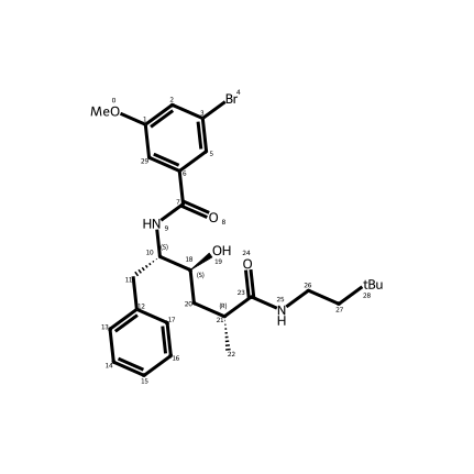 COc1cc(Br)cc(C(=O)N[C@@H](Cc2ccccc2)[C@@H](O)C[C@@H](C)C(=O)NCCC(C)(C)C)c1